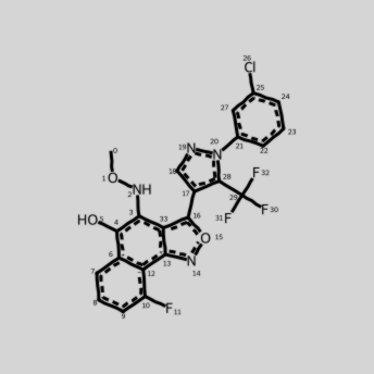 CONc1c(O)c2cccc(F)c2c2noc(-c3cnn(-c4cccc(Cl)c4)c3C(F)(F)F)c12